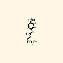 CCOC(=O)CCNCc1ccc(C(C)(C)C)cc1